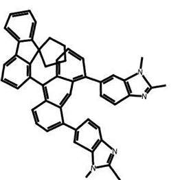 Cc1nc2ccc(-c3cccc4c(-c5cccc6c5C5(CCCC5)c5ccccc5-6)c5cccc(-c6ccc7nc(C)n(C)c7c6)c5cc34)cc2n1C